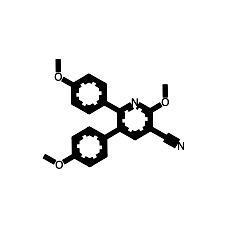 COc1ccc(-c2cc(C#N)c(OC)nc2-c2ccc(OC)cc2)cc1